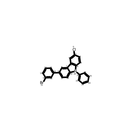 Clc1ccc2c(c1)c1cc(-c3cccc(Br)c3)ccc1n2-c1ccccc1